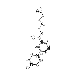 CC(=O)CCSCCC(=O)c1cncc(N2CCN(C)CC2)c1